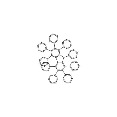 c1ccc(-c2c(-c3ccccc3)c(-c3ccccc3)c3c(c2-c2ccccc2)-c2c(-c4ccccc4)c(-c4ccccc4)c(-c4ccccc4)c(-c4ccccc4)c2C3c2ccccc2)cc1